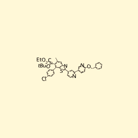 CCOC(=O)[C@@H](OC(C)(C)C)c1c(C)cc2nc(-c3ccnc(-c4ccc(OCc5ccccc5)nc4)c3)sc2c1-c1ccc(Cl)cc1